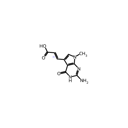 Cn1cc(/C=C/C(=O)O)c2c(=O)[nH]c(N)nc21